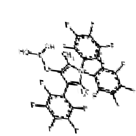 CC1=C(OB(O)O)C(c2c(F)c(F)c(F)c(F)c2F)=C(C)[N+]1(c1c(F)c(F)c(F)c(F)c1F)c1c(F)c(F)c(F)c(F)c1F